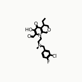 CCC1COCc2c1c(=O)c(O)c(C=O)n2CCN(C)Cc1ccc(F)c(Cl)c1